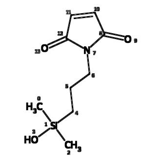 C[Si](C)(O)CCCN1C(=O)C=CC1=O